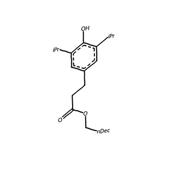 CCCCCCCCCCCOC(=O)CCc1cc(C(C)C)c(O)c(C(C)C)c1